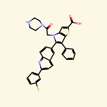 O=C(O)c1cc2c(s1)c(-c1ccccc1)c(-c1ccc3nc(-c4cccc(F)c4)ccc3c1)n2CC(=O)N1CCNCC1